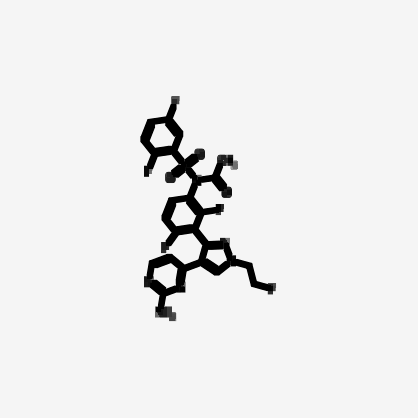 CC(=O)N(c1ccc(F)c(-c2nn(CCF)cc2-c2ccnc(N)n2)c1F)S(=O)(=O)c1cc(F)ccc1F